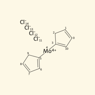 C1=CC[C]([Mo+4][C]2=CC=CC2)=C1.[Cl-].[Cl-].[Cl-].[Cl-]